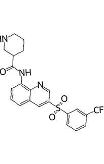 O=C(Nc1cccc2cc(S(=O)(=O)c3cccc(C(F)(F)F)c3)cnc12)C1CCCNC1